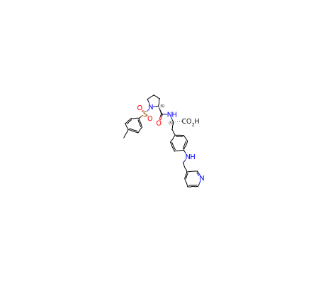 Cc1ccc(S(=O)(=O)N2CCC[C@H]2C(=O)N[C@@H](Cc2ccc(NCc3cccnc3)cc2)C(=O)O)cc1